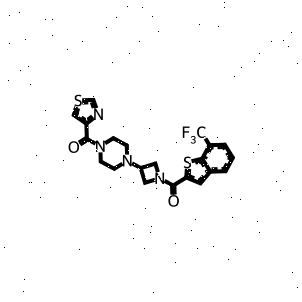 O=C(c1cscn1)N1CCN(C2CN(C(=O)c3cc4cccc(C(F)(F)F)c4s3)C2)CC1